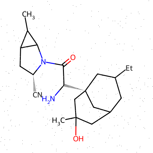 CCC1CC2CC(C)(O)C[C@@](C(N)C(=O)N3C4C(C)C4C[C@H]3C#N)(C1)C2